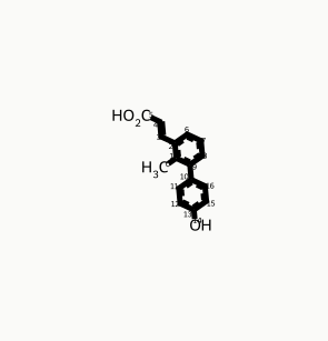 Cc1c(/C=C/C(=O)O)cccc1-c1ccc(O)cc1